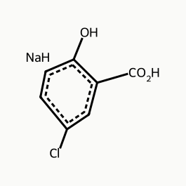 O=C(O)c1cc(Cl)ccc1O.[NaH]